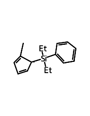 CC[Si](CC)([C]1C=CC=C1C)c1ccccc1